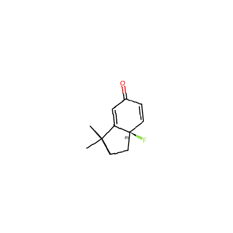 CC1(C)CC[C@@]2(F)C=CC(=O)C=C12